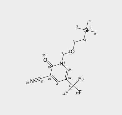 C[Si](C)(C)CCOCn1cc(C(F)(F)F)cc(C#N)c1=O